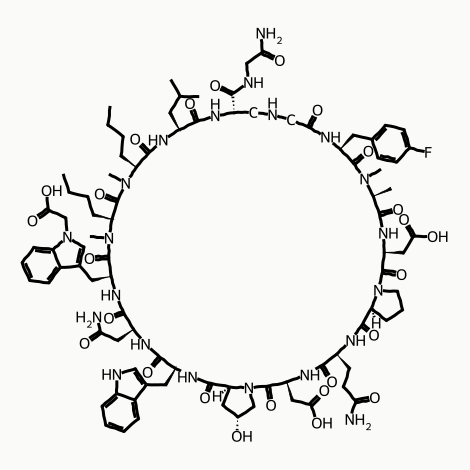 CCCC[C@H]1C(=O)N(C)[C@@H](CCCC)C(=O)N[C@@H](CC(C)C)C(=O)N[C@H](C(=O)NCC(N)=O)CNCC(=O)N[C@@H](Cc2ccc(F)cc2)C(=O)N(C)[C@@H](C)C(=O)N[C@@H](CC(=O)O)C(=O)N2CCC[C@H]2C(=O)N[C@@H](CCC(N)=O)C(=O)N[C@@H](CC(=O)O)C(=O)N2C[C@H](O)C[C@H]2C(=O)N[C@@H](Cc2c[nH]c3ccccc23)C(=O)N[C@@H](CC(N)=O)C(=O)N[C@@H](Cc2cn(CC(=O)O)c3ccccc23)C(=O)N1C